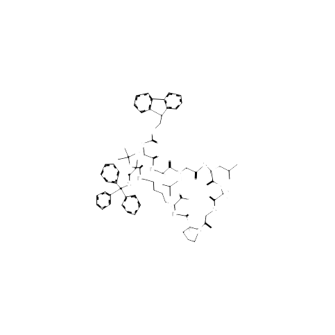 CC(C)C[C@H](NC(=O)CNC(=O)[C@H](CC(C)C)NC(=O)[C@H](CCC(=O)NC(c1ccccc1)(c1ccccc1)c1ccccc1)NC(=O)OCC1c2ccccc2-c2ccccc21)C(=O)N[C@@H](C)C(=O)NCC(=O)N1CCC[C@H]1C(=O)N[C@@H](CCCCNC(=O)OC(C)(C)C)C(=O)O